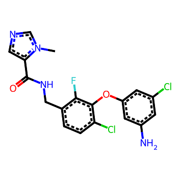 Cn1cncc1C(=O)NCc1ccc(Cl)c(Oc2cc(N)cc(Cl)c2)c1F